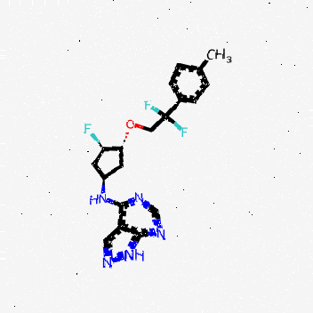 Cc1ccc(C(F)(F)CO[C@@H]2C[C@@H](Nc3ncnc4[nH]ncc34)C[C@H]2F)cc1